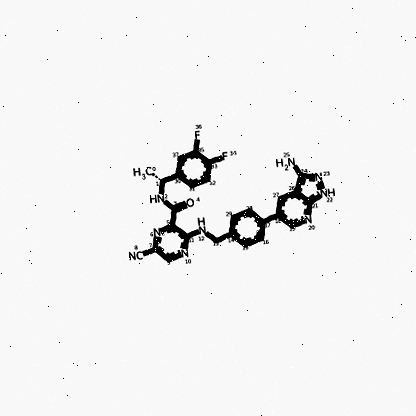 C[C@@H](NC(=O)c1nc(C#N)cnc1NCc1ccc(-c2cnc3[nH]nc(N)c3c2)cc1)c1ccc(F)c(F)c1